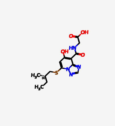 CC[C@H](C)CSc1cc(O)c(C(=O)NCC(=O)O)c2ncnn12